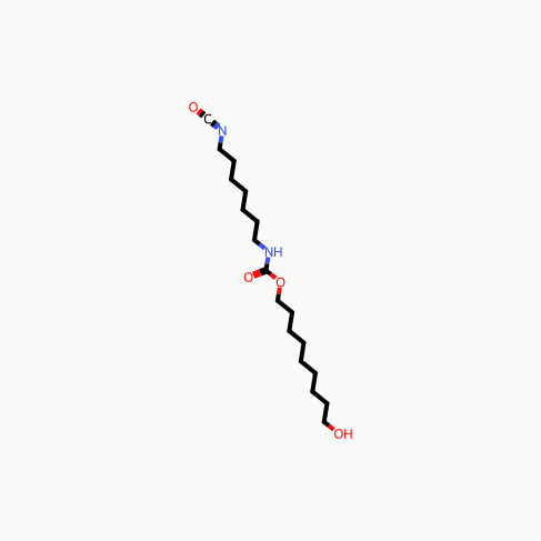 O=C=NCCCCCCCNC(=O)OCCCCCCCCCO